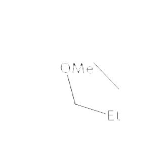 CC.CCCOC